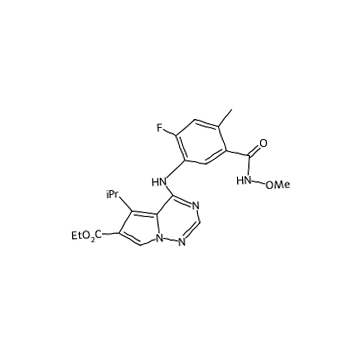 CCOC(=O)c1cn2ncnc(Nc3cc(C(=O)NOC)c(C)cc3F)c2c1C(C)C